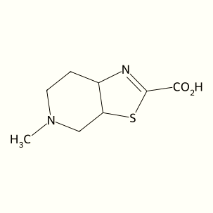 CN1CCC2N=C(C(=O)O)SC2C1